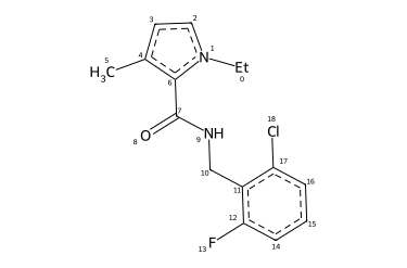 CCn1ccc(C)c1C(=O)NCc1c(F)cccc1Cl